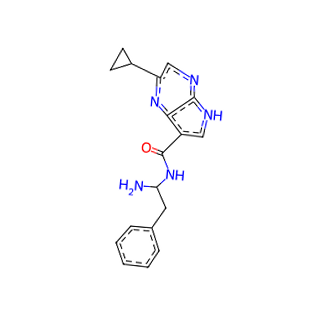 NC(Cc1ccccc1)NC(=O)c1c[nH]c2ncc(C3CC3)nc12